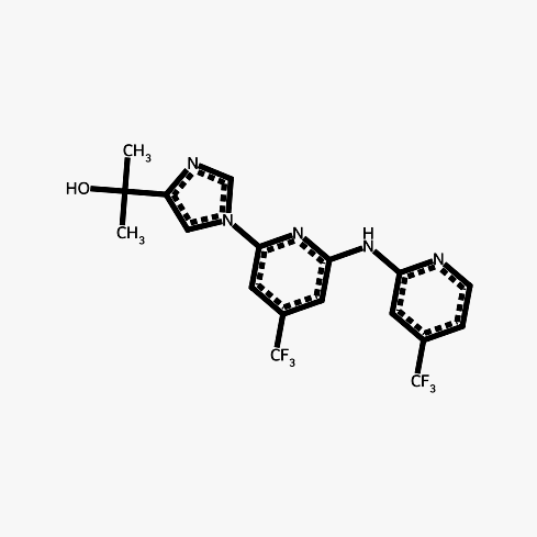 CC(C)(O)c1cn(-c2cc(C(F)(F)F)cc(Nc3cc(C(F)(F)F)ccn3)n2)cn1